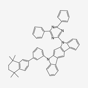 CC1(C)CCC(C)(C)c2cc(-c3cccc(-n4c5ccccc5c5cc6c7ccccc7n(-c7nc(-c8ccccc8)nc(-c8ccccc8)n7)c6cc54)c3)ccc21